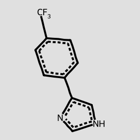 FC(F)(F)c1ccc(-c2c[nH]cn2)cc1